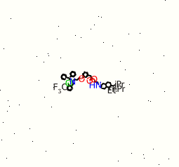 CCCC(C(C)C)C1CCC2CC(NCCOC(=O)Cc3cccc(OCCCN(Cc4cccc(C(F)(F)F)c4Cl)CC(c4ccccc4)c4ccccc4)c3)CCC2C1CC